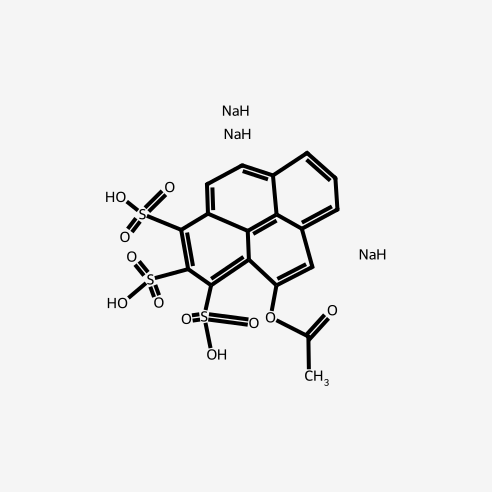 CC(=O)Oc1cc2cccc3ccc4c(S(=O)(=O)O)c(S(=O)(=O)O)c(S(=O)(=O)O)c1c4c32.[NaH].[NaH].[NaH]